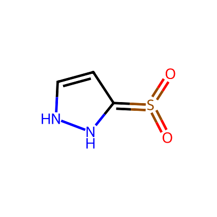 O=S(=O)=c1cc[nH][nH]1